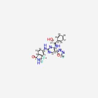 O=C1NC(F)(F)c2cc(Nc3ncc(-c4nnc(F)o4)c(N[C@H](CO)c4ccccc4)n3)ccc21